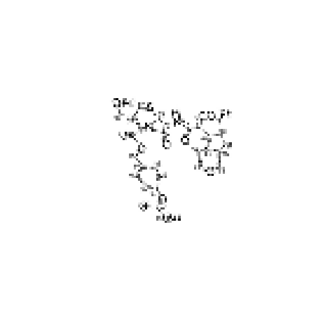 CCOC(=O)C(C(=O)NC1C(=O)N2C(C(=O)OCc3ccc(OC(=O)C(C)(C)C)cc3)=C(COC(C)=O)CSC12)C1=C2C=COC=C2CC1